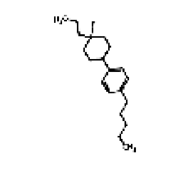 CCCCCc1ccc(C2CCC(F)(CCC)CC2)cc1